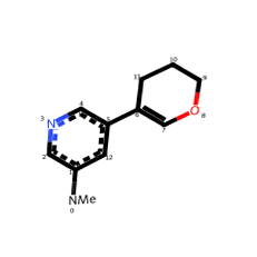 CNc1cncc(C2=COCCC2)c1